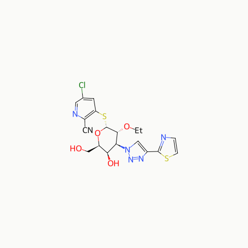 CCO[C@@H]1[C@@H](n2cc(-c3nccs3)nn2)[C@@H](O)[C@@H](CO)O[C@@H]1Sc1cc(Cl)cnc1C#N